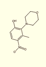 Cc1c([N+](=O)[O-])ccc(O)c1N1CCOCC1